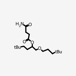 CC(C)(C)CCCOCC(CCC(C)(C)C)OC(=O)CCC(N)=O